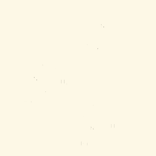 CN(C(C)(C)C)S(=O)(=O)CCC(C)(C)NS(=O)(=O)/C=C/CC(C)(C)NS(C)(=O)=O